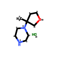 CC1(N2CCNCC2)CCOC1.Cl